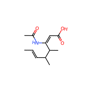 CC=CC(C)C(C)C(=CC(=O)O)NC(C)=O